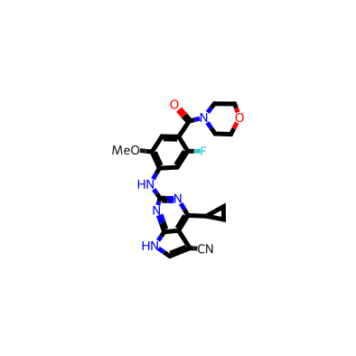 COc1cc(C(=O)N2CCOCC2)c(F)cc1Nc1nc(C2CC2)c2c(C#N)c[nH]c2n1